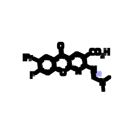 CC(C)c1cc2c(=O)c3cc(C(=O)O)c(/N=C/N(C)C)nc3oc2cc1F